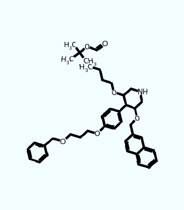 CC(C)(C)OC=O.CCCCOC1CNCC(OCc2ccc3ccccc3c2)C1c1ccc(OCCCOCc2ccccc2)cc1